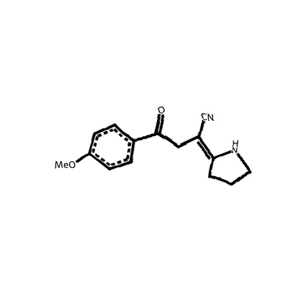 COc1ccc(C(=O)C/C(C#N)=C2\CCCN2)cc1